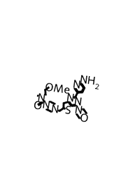 COCCN(C)C(=O)N1CCN(CC2Cc3nc(-c4ccc(N)nc4)nc(N4CCOCC4)c3S2)CC1